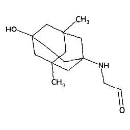 CC12CC3(C)CC(O)(C1)CC(NCC=O)(C2)C3